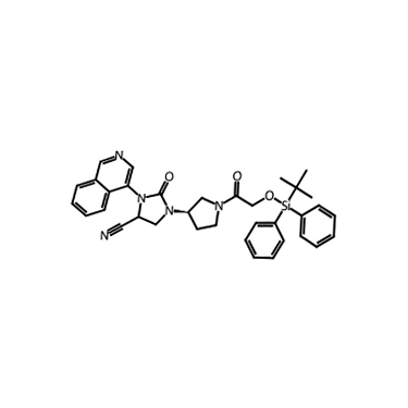 CC(C)(C)[Si](OCC(=O)N1CC[C@@H](N2CC(C#N)N(c3cncc4ccccc34)C2=O)C1)(c1ccccc1)c1ccccc1